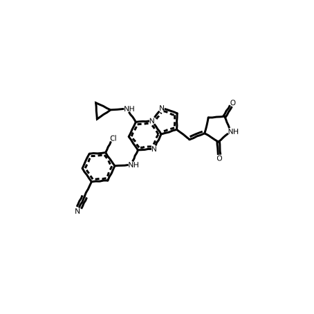 N#Cc1ccc(Cl)c(Nc2cc(NC3CC3)n3ncc(C=C4CC(=O)NC4=O)c3n2)c1